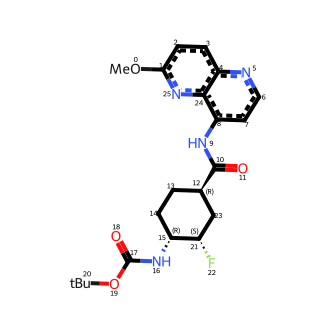 COc1ccc2nccc(NC(=O)[C@@H]3CC[C@@H](NC(=O)OC(C)(C)C)[C@@H](F)C3)c2n1